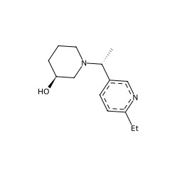 CCc1ccc([C@@H](C)N2CCC[C@H](O)C2)cn1